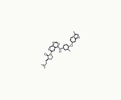 Cc1cc(Nc2ncnc3cnc(N4CC/C(=C\CN(C)C)C4=O)cc23)ccc1Oc1ccn2c(C)cnc2c1